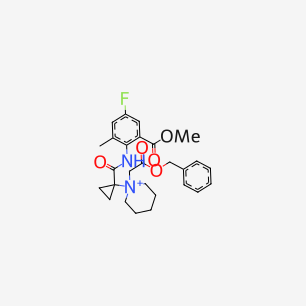 COC(=O)c1cc(F)cc(C)c1NC(=O)C1([N+]2(CC(=O)OCc3ccccc3)CCCCC2)CC1